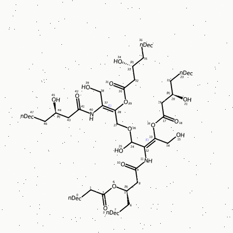 CCCCCCCCCCCC(=O)O[C@H](CCCCCCCCCCC)CC(=O)N/C(=C(\CO)OC(=O)C[C@H](O)CCCCCCCCCCC)C(O)OC/C(OC(=O)C[C@H](O)CCCCCCCCCCC)=C(/CO)NC(=O)C[C@H](O)CCCCCCCCCCC